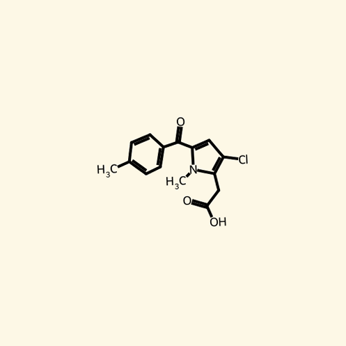 Cc1ccc(C(=O)c2cc(Cl)c(CC(=O)O)n2C)cc1